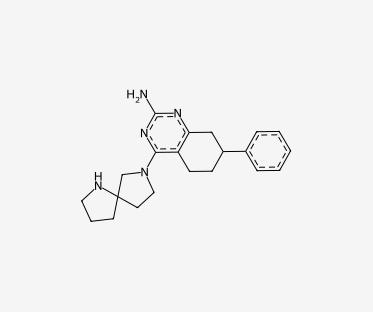 Nc1nc2c(c(N3CCC4(CCCN4)C3)n1)CCC(c1ccccc1)C2